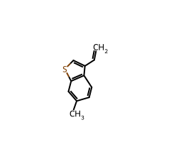 C=Cc1csc2cc(C)ccc12